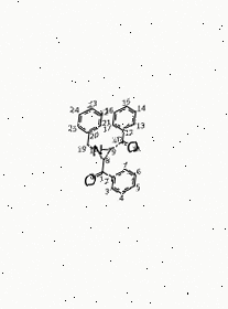 O=C(c1ccccc1)C1C(C(=O)c2ccccc2)N1Cc1ccccc1